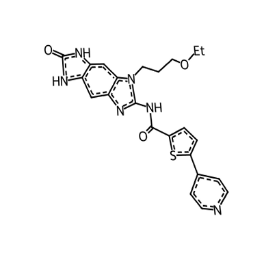 CCOCCCn1c(NC(=O)c2ccc(-c3ccncc3)s2)nc2cc3[nH]c(=O)[nH]c3cc21